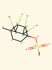 CC12CCC(OS(C)(=O)=O)(CC1)C(F)(F)C2(F)F